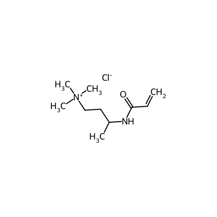 C=CC(=O)NC(C)CC[N+](C)(C)C.[Cl-]